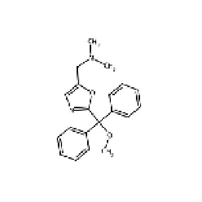 COC(c1ccccc1)(c1ccccc1)c1ncc(CN(C)C)o1